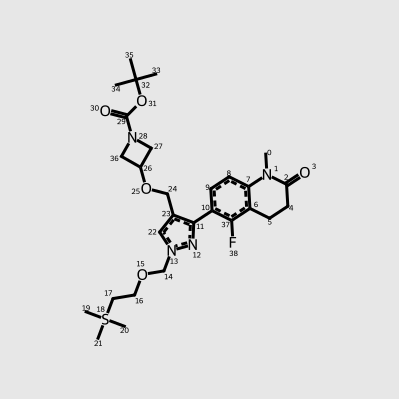 CN1C(=O)CCc2c1ccc(-c1nn(COCCS(C)(C)C)cc1COC1CN(C(=O)OC(C)(C)C)C1)c2F